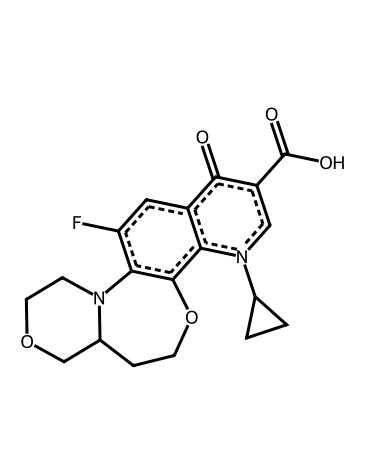 O=C(O)c1cn(C2CC2)c2c3c(c(F)cc2c1=O)N1CCOCC1CCO3